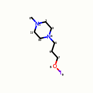 CN1CCN(CCCOI)CC1